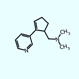 CN(C)CC1CCC=C1c1cccnc1